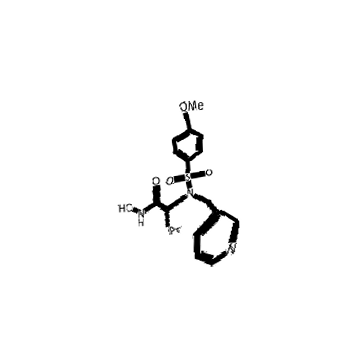 COc1ccc(S(=O)(=O)N(Cc2cccnc2)C(C(=O)NO)C(C)C)cc1